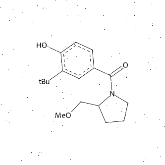 COCC1CCCN1C(=O)c1ccc(O)c(C(C)(C)C)c1